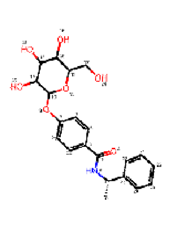 C[C@H](NC(=O)c1ccc(OC2OC(CO)C(O)C(O)C2O)cc1)c1ccccc1